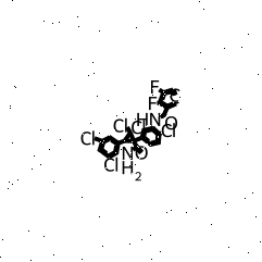 NC(=O)C1(c2ccc(Cl)c(NC(=O)c3cccc(F)c3F)c2)C(c2cc(Cl)cc(Cl)c2)C1(Cl)Cl